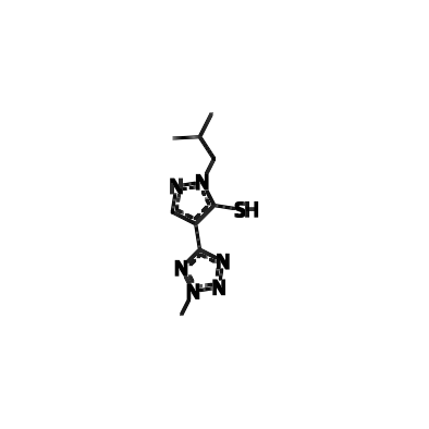 CC(C)Cn1ncc(-c2nnn(C)n2)c1S